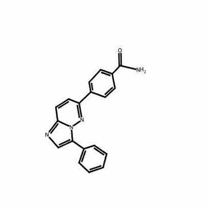 NC(=O)c1ccc(-c2ccc3ncc(-c4ccccc4)n3n2)cc1